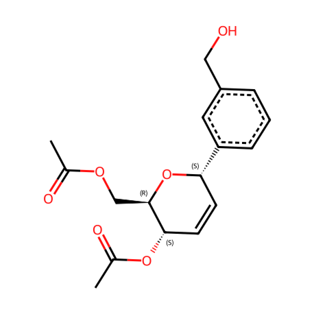 CC(=O)OC[C@H]1O[C@H](c2cccc(CO)c2)C=C[C@@H]1OC(C)=O